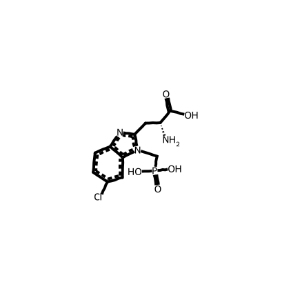 N[C@H](Cc1nc2ccc(Cl)cc2n1CP(=O)(O)O)C(=O)O